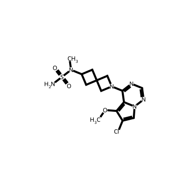 COc1c(Cl)cn2ncnc(N3CC4(CC(N(C)S(N)(=O)=O)C4)C3)c12